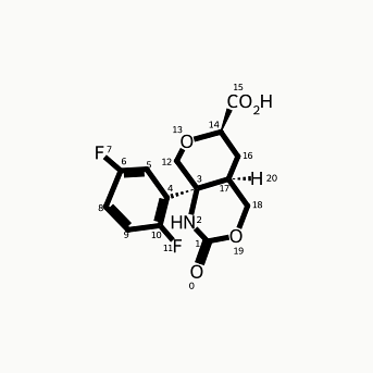 O=C1N[C@@]2(c3cc(F)ccc3F)CO[C@@H](C(=O)O)C[C@H]2CO1